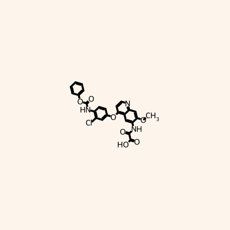 COc1cc2nccc(Oc3ccc(NC(=O)Oc4ccccc4)c(Cl)c3)c2cc1NC(=O)C(=O)O